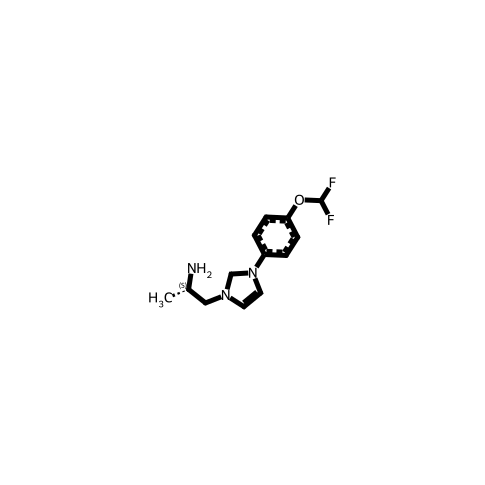 C[C@H](N)CN1C=CN(c2ccc(OC(F)F)cc2)C1